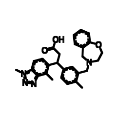 Cc1ccc(C(CC(=O)O)c2ccc3c(nnn3C)c2C)cc1CN1CCOc2ccccc2C1